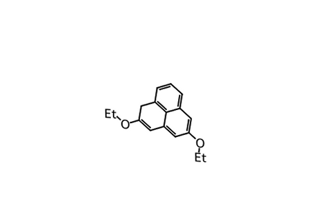 CCOC1=Cc2cc(OCC)cc3cccc(c23)C1